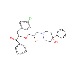 O=C(c1ccccc1)C(Cc1ccc(Cl)cc1)OCC(O)CN1CCC(O)(c2ccccc2)CC1